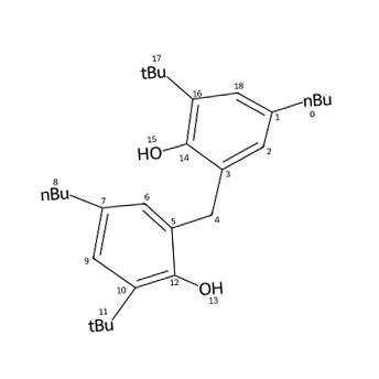 CCCCc1cc(Cc2cc(CCCC)cc(C(C)(C)C)c2O)c(O)c(C(C)(C)C)c1